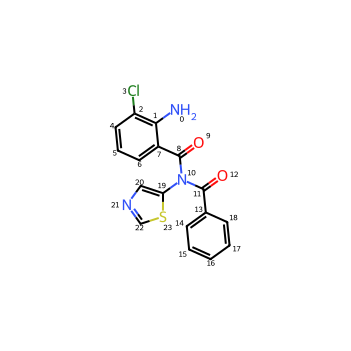 Nc1c(Cl)cccc1C(=O)N(C(=O)c1ccccc1)c1cncs1